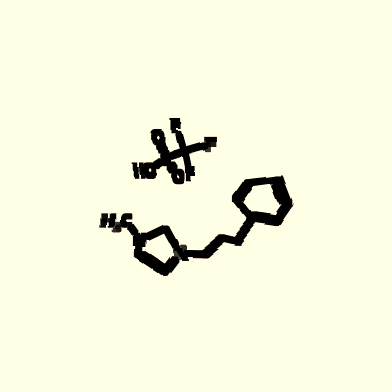 CN1C=CN(CCCc2ccccc2)C1.O=S(=O)(O)C(F)(F)F